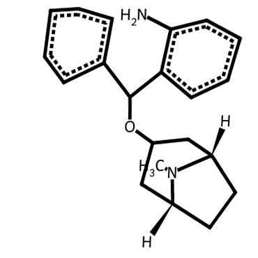 CN1[C@@H]2CC[C@H]1CC(OC(c1ccccc1)c1ccccc1N)C2